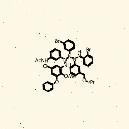 CCCOCc1cccc(N(Nc2ccccc2Br)N(c2cccc(Br)c2)N(Nc2cc(Cl)cc(Oc3ccccc3)c2OC)c2cccc(NC(C)=O)c2)c1